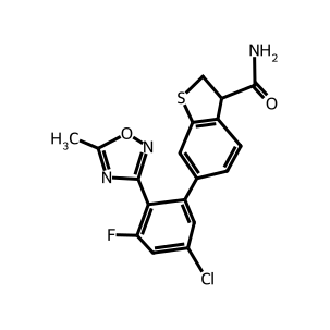 Cc1nc(-c2c(F)cc(Cl)cc2-c2ccc3c(c2)SCC3C(N)=O)no1